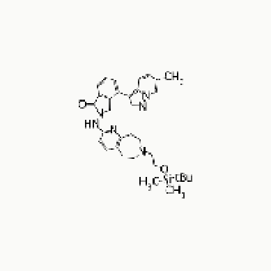 Cc1ccc2c(-c3cccc4c3CN(Nc3ccc5c(n3)CCN(CCO[Si](C)(C)C(C)(C)C)CC5)C4=O)cnn2c1